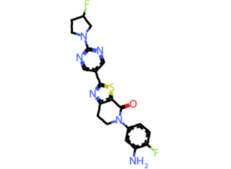 Nc1cc(N2CCc3nc(-c4cnc(N5CCC(F)C5)nc4)sc3C2=O)ccc1F